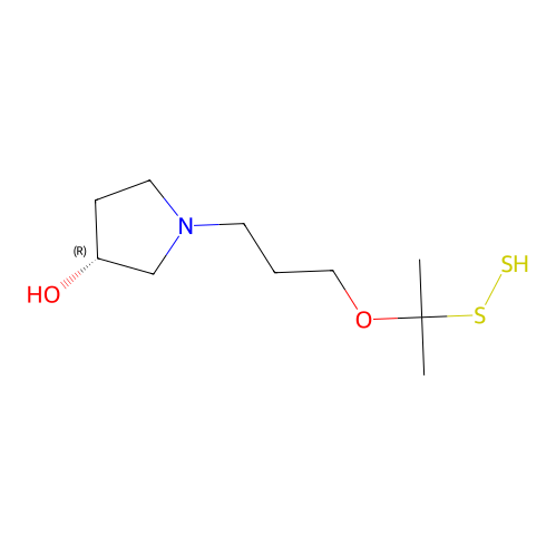 CC(C)(OCCCN1CC[C@@H](O)C1)SS